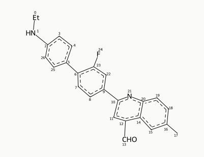 CCNc1ccc(-c2ccc(-c3cc(C=O)c4cc(C)ccc4n3)cc2F)cc1